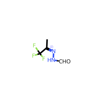 C/C(=N/NC=O)C(F)(F)F